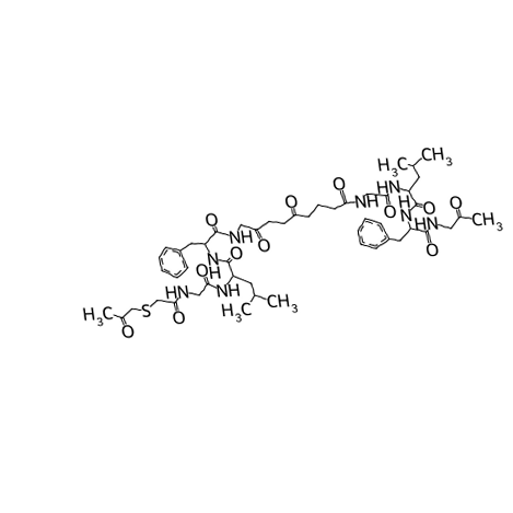 CC(=O)CNC(=O)C(Cc1ccccc1)NC(=O)C(CC(C)C)NC(=O)CNC(=O)CCCC(=O)CCC(=O)CNC(=O)C(Cc1ccccc1)NC(=O)C(CC(C)C)NC(=O)CNC(=O)CSCC(C)=O